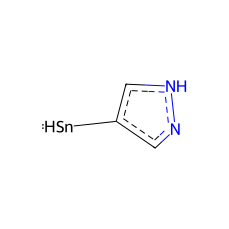 [SnH][c]1cn[nH]c1